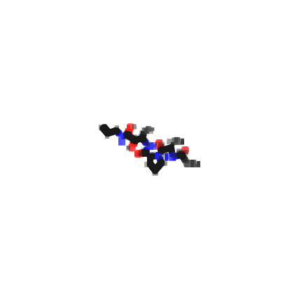 C=CCNC(=O)C(=O)C(CCC)NC(=O)[C@@H]1CCCN1C(=O)[C@@H](NC(=O)OCC(C)C)C(C)(C)C